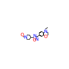 CCN1CCOc2cc(-c3noc(C4CCN(C=O)CC4)n3)ccc21